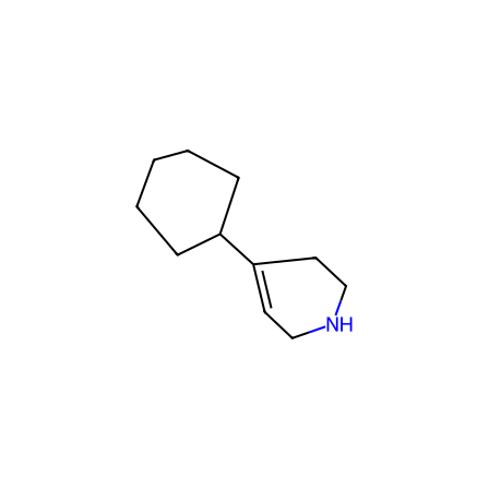 C1=C(C2CCCCC2)CCNC1